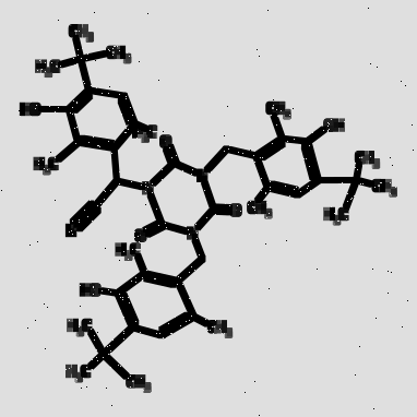 Cc1cc(C(C)(C)C)c(O)c(C)c1Cn1c(=O)n(Cc2c(C)cc(C(C)(C)C)c(O)c2C)c(=O)n(C(C#N)c2c(C)cc(C(C)(C)C)c(O)c2C)c1=O